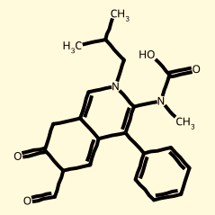 CC(C)CN1C=C2CC(=O)C(C=O)C=C2C(c2ccccc2)=C1N(C)C(=O)O